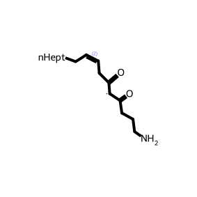 CCCCCCCC/C=C\CC(=O)[CH]C(=O)CCCN